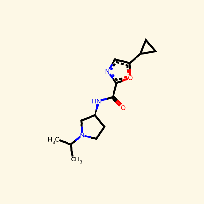 CC(C)N1CC[C@H](NC(=O)c2ncc(C3CC3)o2)C1